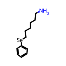 NCCCCCC[Se]c1ccccc1